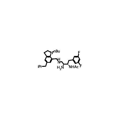 CCCCN1CCc2cc(CC(C)C)cc(CNC[C@H](N)[C@H](Cc3cc(F)cc(F)c3)NC(C)=O)c21